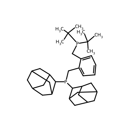 CC(C)(C)P(Cc1ccccc1CP(C1C2CC3CC(C2)CC1C3)C1C2CC3CC(C2)CC1C3)C(C)(C)C